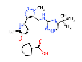 Cc1nc(-c2nnn(C)c2CNc2nncc(C(C)(C)C)n2)ccc1O[C@H]1CCC[C@H](C(=O)O)C1